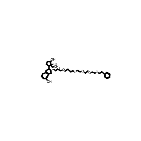 CCC1(C)C(O)CCC1C1CC2=C(C=C(O)C=CC2)C[C@H]1CCCCOCCCCOCCOCCOCCOCCc1ccccc1